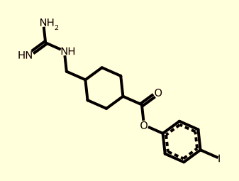 N=C(N)NCC1CCC(C(=O)Oc2ccc(I)cc2)CC1